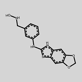 ONCc1cccc(Nc2nc3cc4c(cc3[nH]2)OCO4)c1